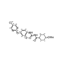 COC1CCC(C(=O)NC(=O)Nc2ccc(Oc3ncc(Cl)cn3)cc2F)CC1